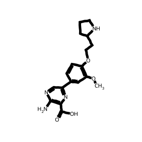 COc1cc(-c2cnc(N)c(C(=O)O)n2)ccc1OCCC1CCCN1